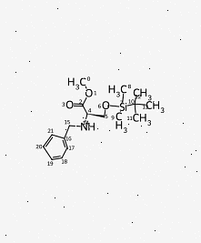 COC(=O)[C@@H](CO[Si](C)(C)C(C)(C)C)NCc1ccccc1